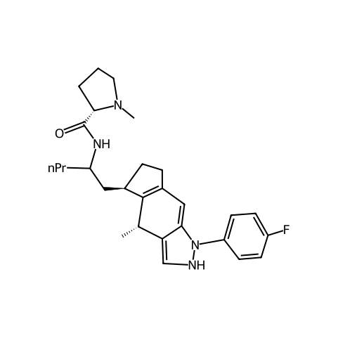 CCCC(C[C@H]1CCC2=C1[C@@H](C)C1=CNN(c3ccc(F)cc3)C1=C2)NC(=O)[C@@H]1CCCN1C